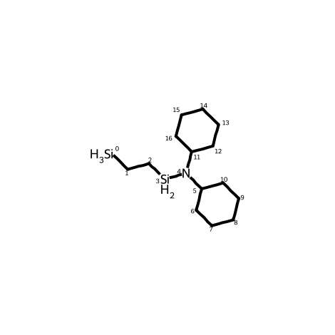 [SiH3]CC[SiH2]N(C1CCCCC1)C1CCCCC1